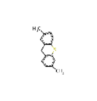 Cc1ccc2c(c1)Cc1ccc(C)cc1S2